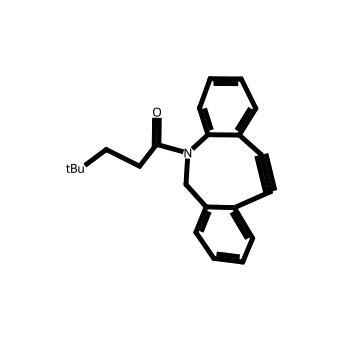 CC(C)(C)CCC(=O)N1Cc2ccccc2C#Cc2ccccc21